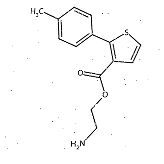 Cc1ccc(-c2sccc2C(=O)OCCN)cc1